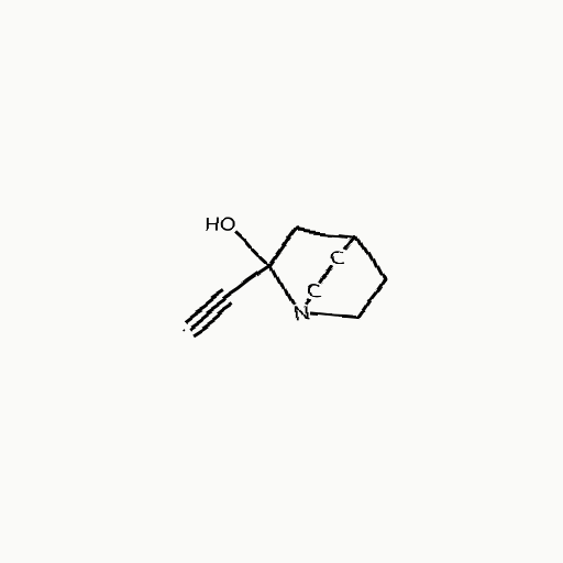 [C]#CC1(O)CC2CCN1CC2